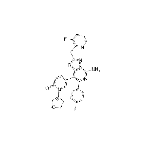 Nc1nc(-c2ccc(F)cc2)c(-c2ccc(=O)n([C@H]3CCOC3)c2)c2nc(Cc3ncccc3F)nn12